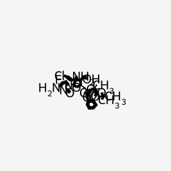 CC(C)OC(=O)[C@H](C)OP(=O)(OC[C@H]1O[C@@H](n2cc(F)c(N)nc2=O)C(N)(C#CCl)C1CO)Oc1ccccc1